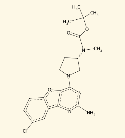 CN(C(=O)OC(C)(C)C)[C@H]1CCN(c2nc(N)nc3c2oc2ccc(Cl)cc23)C1